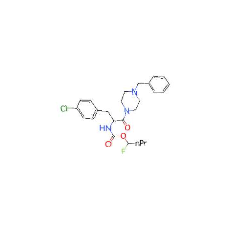 CCCC(F)OC(=O)NC(Cc1ccc(Cl)cc1)C(=O)N1CCN(Cc2ccccc2)CC1